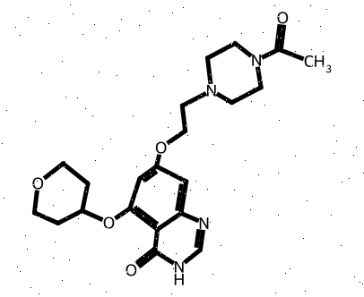 CC(=O)N1CCN(CCOc2cc(OC3CCOCC3)c3c(=O)[nH]cnc3c2)CC1